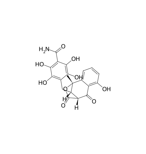 C[C@@]12OC(=O)[C@@H](C(=O)c3c(O)cccc31)[C@@H]2Cc1c(O)c(O)c(C(N)=O)c(O)c1O